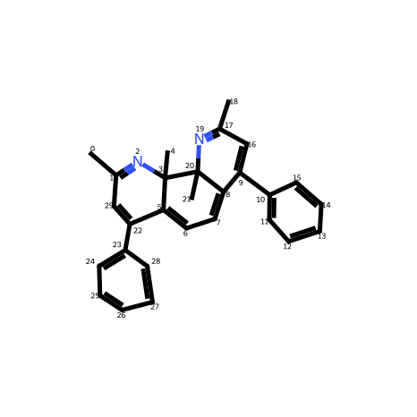 CC1=NC2(C)C(=CC=C3C(c4ccccc4)=CC(C)=NC32C)C(c2ccccc2)=C1